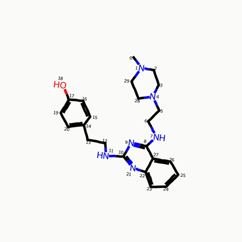 CN1CCN(CCNc2nc(NCCc3ccc(O)cc3)nc3ccccc23)CC1